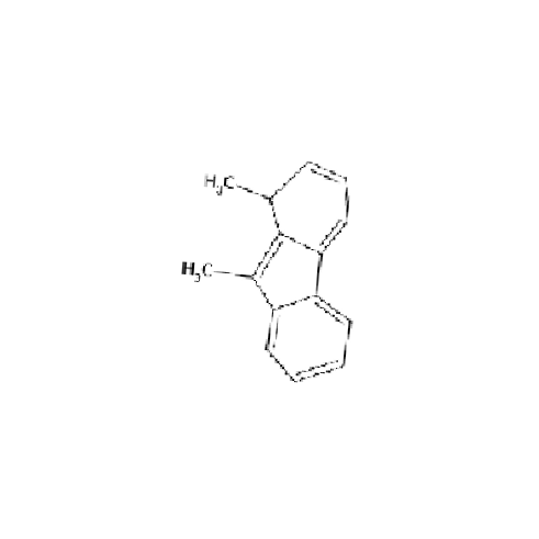 C[C]1C=CC=C2C1=C(C)c1ccccc12